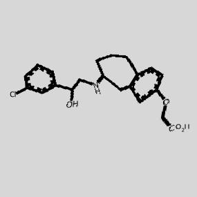 O=C(O)COc1ccc2c(c1)CC(NCC(O)c1cccc(Cl)c1)CCC2